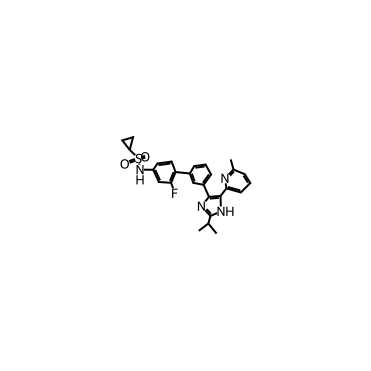 Cc1cccc(-c2[nH]c(C(C)C)nc2-c2cccc(-c3ccc(NS(=O)(=O)C4CC4)cc3F)c2)n1